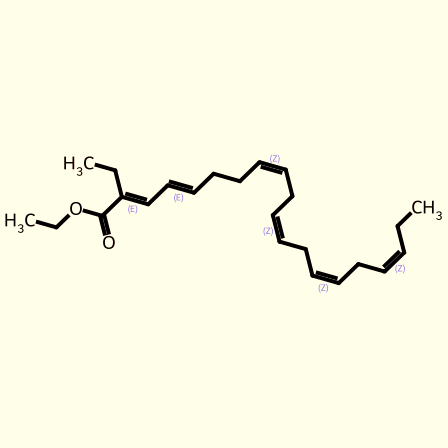 CC/C=C\C/C=C\C/C=C\C/C=C\CC/C=C/C=C(\CC)C(=O)OCC